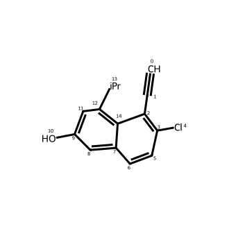 C#Cc1c(Cl)ccc2cc(O)cc(C(C)C)c12